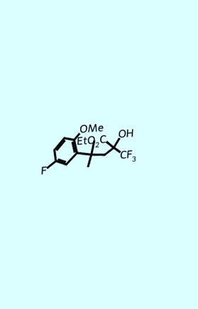 CCOC(=O)C(O)(CC(C)(C)c1cc(F)ccc1OC)C(F)(F)F